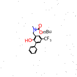 CCCCOC(=O)N(C)Cc1cc(C(F)(F)F)cc(-c2ccccc2)c1O